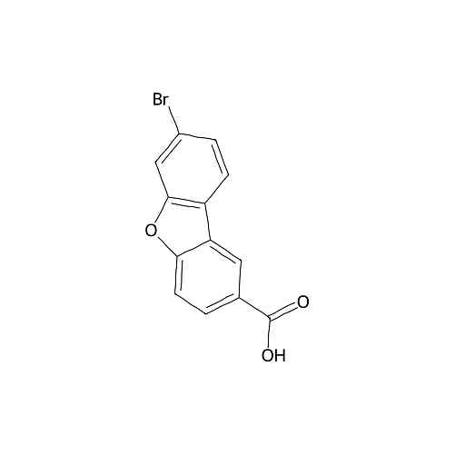 O=C(O)c1ccc2oc3cc(Br)ccc3c2c1